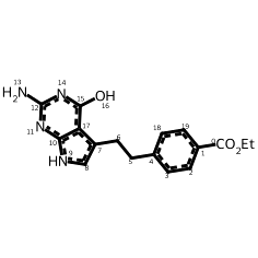 CCOC(=O)c1ccc(CCc2c[nH]c3nc(N)nc(O)c23)cc1